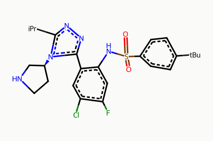 CC(C)c1nnc(-c2cc(Cl)c(F)cc2NS(=O)(=O)c2ccc(C(C)(C)C)cc2)n1[C@H]1CCNC1